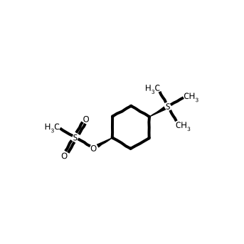 CS(=O)(=O)O[C@H]1CC[C@@H](S(C)(C)C)CC1